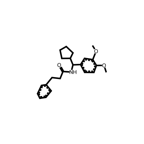 COc1ccc(C(NC(=O)CCc2ccccc2)C2CCCC2)cc1OC